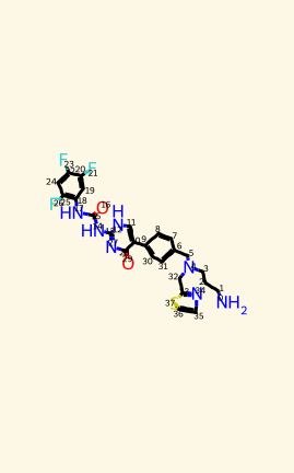 NCCCN(Cc1ccc(-c2c[nH]c(NC(=O)Nc3cc(F)c(F)cc3F)nc2=O)cc1)Cc1nccs1